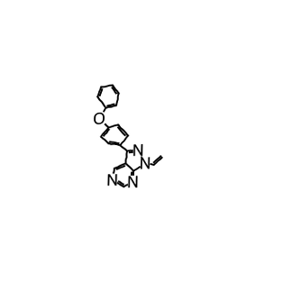 C=Cn1nc(-c2ccc(Oc3ccccc3)cc2)c2cncnc21